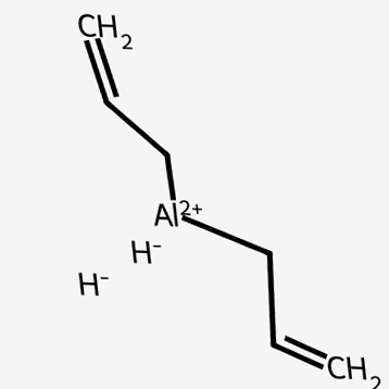 C=C[CH2][Al+2][CH2]C=C.[H-].[H-]